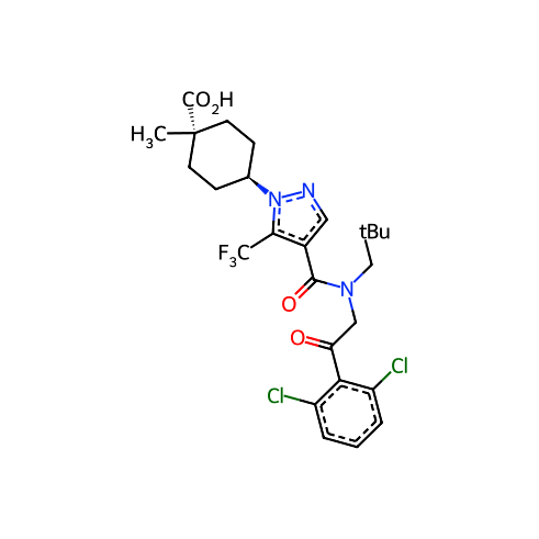 CC(C)(C)CN(CC(=O)c1c(Cl)cccc1Cl)C(=O)c1cnn([C@H]2CC[C@](C)(C(=O)O)CC2)c1C(F)(F)F